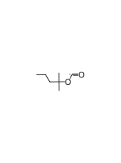 CCCC(C)(C)O[C]=O